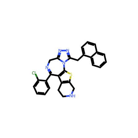 Clc1ccccc1C1=NCc2nnc(Cc3cccc4ccccc34)n2-c2sc3c(c21)CCNC3